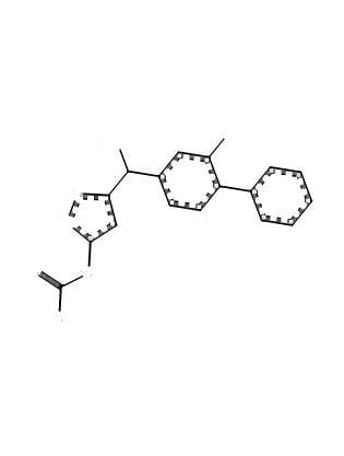 CC(c1ccc(-c2ccccc2)c(F)c1)c1cc(NC(N)=S)on1